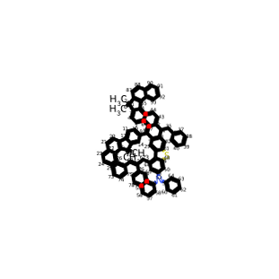 CC1(C)c2ccc(/C=C(\c3ccc4c(c3)C(C)(C)c3c-4ccc4ccccc34)c3cc4c(cc3C(Cc3ccccc3)c3ccccc3)sc3cc(N(c5ccccc5)c5ccccc5)cc(C/C(=C/c5ccccc5)c5ccccc5)c34)cc2-c2c1ccc1ccccc21